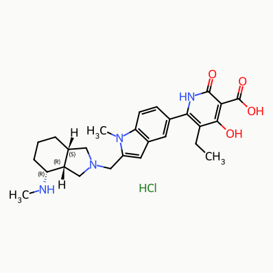 CCc1c(-c2ccc3c(c2)cc(CN2C[C@H]4CCC[C@@H](NC)[C@H]4C2)n3C)[nH]c(=O)c(C(=O)O)c1O.Cl